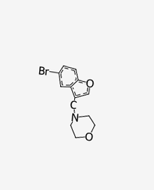 Brc1ccc2occ(CN3CCOCC3)c2c1